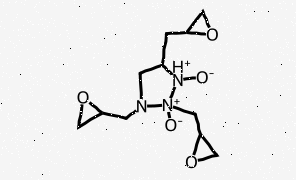 [O-][NH+]1C(CC2CO2)CN(CC2CO2)[N+]1([O-])CC1CO1